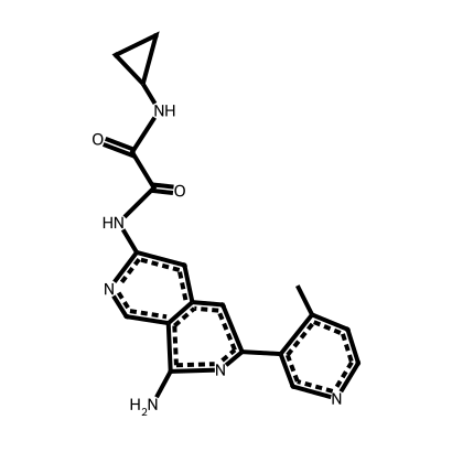 Cc1ccncc1-c1cc2cc(NC(=O)C(=O)NC3CC3)ncc2c(N)n1